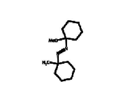 COC1(N=NC2(C)CCCCC2)CCCCC1